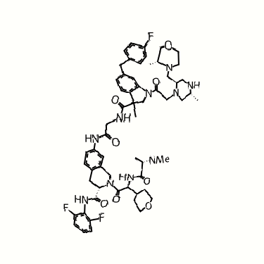 CN[C@@H](C)C(=O)N[C@H](C(=O)N1Cc2cc(NC(=O)CNC(=O)C3(C)CN(C(=O)CN4C[C@@H](C)NC[C@@H]4CN4CCOC[C@H]4C)c4cc(Cc5ccc(F)cc5)ccc43)ccc2C[C@H]1C(=O)Nc1c(F)cccc1F)C1CCOCC1